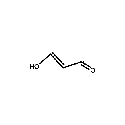 O=[C]C=CO